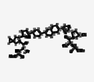 COC(=O)N[C@H](C(=O)N1CC2(CC2)C[C@H]1c1ncc(-c2ccc(-c3ccc4cc(-c5cnc([C@@H]6C[C@H](C#N)CN6C(=O)[C@@H](NC(=O)OC)C(C)(C)C)[nH]5)ccc4c3)cc2)[nH]1)C(C)C